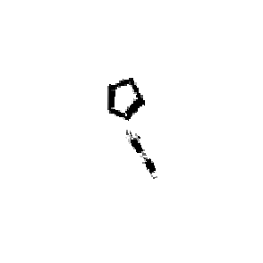 C1=CCC=C1.O=[C]=[Mo]